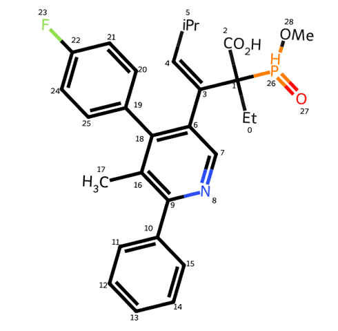 CCC(C(=O)O)(C(=CC(C)C)c1cnc(-c2ccccc2)c(C)c1-c1ccc(F)cc1)[PH](=O)OC